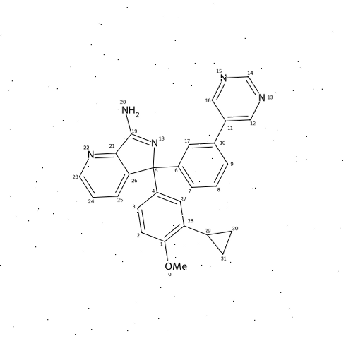 COc1ccc(C2(c3cccc(-c4cncnc4)c3)N=C(N)c3ncccc32)cc1C1CC1